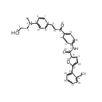 CN(CCO)c1ccc(/C=C/C(=O)c2ccc(NC(=O)c3ccc(-c4ccccc4F)o3)cc2)cc1